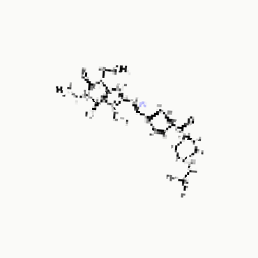 CCn1c(=O)c2c(nc(/C=C/c3ccc(C(=O)N4CCN(CC(F)F)CC4)cc3)n2C)n(CC)c1=O